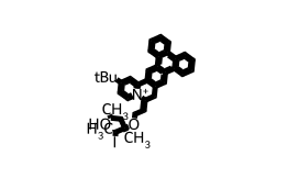 CC(O)CC(C)(OC/C=C1/Cc2cc3c4ccccc4c4ccccc4c3cc2-c2cc(C(C)(C)C)cc[n+]21)[C@@H](C)I